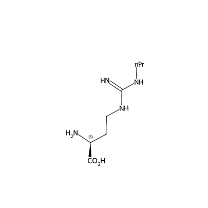 CCCNC(=N)NCC[C@H](N)C(=O)O